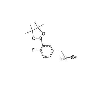 CC(C)(C)NCc1ccc(F)c(B2OC(C)(C)C(C)(C)O2)c1